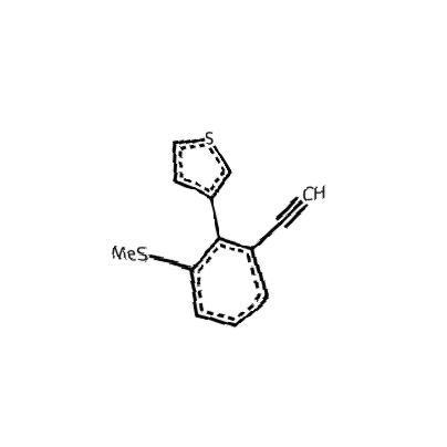 C#Cc1cccc(SC)c1-c1ccsc1